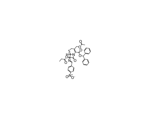 CCC(=O)O[C@]1(N=Cc2ccc([N+](=O)[O-])cc2)C(=O)N2C(C(=O)OC(c3ccccc3)c3ccccc3)=C(COC(C)=O)CS[C@@H]21